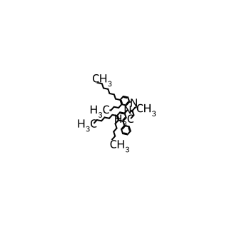 CCCCCCCCc1ccc(N=C(C)C(CC)=Nc2cc(CCCCCC)c(CCCCCC)c(-c3ccccc3)c2)cc1CCCC